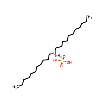 CCCCCCCCCCCOCCCCCCCCCCC.N.O=S(=O)(O)O